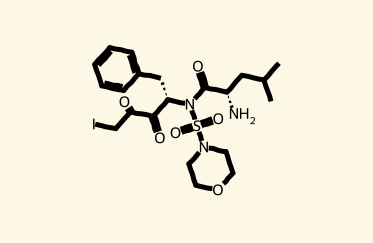 CC(C)C[C@H](N)C(=O)N([C@@H](Cc1ccccc1)C(=O)C(=O)CI)S(=O)(=O)N1CCOCC1